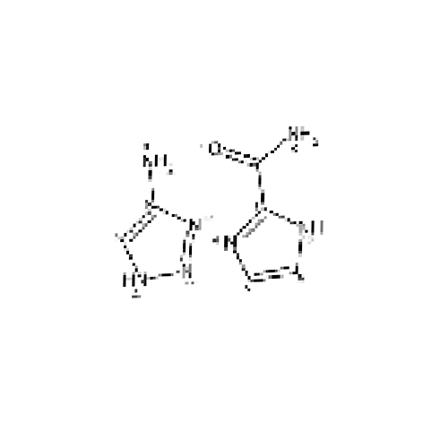 NC(=O)c1ncc[nH]1.Nc1c[nH]nn1